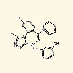 Cc1ccc2c(c1)-n1c(C)nnc1N(Cc1cccc(C#N)c1)N=C2c1ccccc1